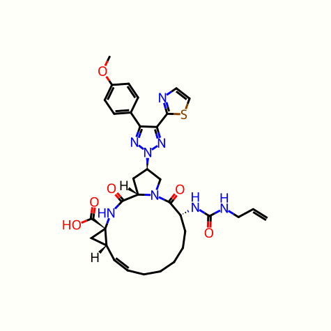 C=CCNC(=O)N[C@@H]1CCCCC/C=C\[C@@H]2C[C@]2(C(=O)O)NC(=O)[C@@H]2C[C@@H](n3nc(-c4ccc(OC)cc4)c(-c4nccs4)n3)CN2C1=O